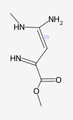 CN/C(N)=C\C(=N)C(=O)OC